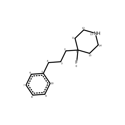 FC1(CCCc2ccccc2)CCNCC1